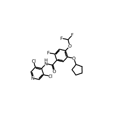 O=C(Nc1c(Cl)cncc1Cl)c1cc(OC2CCCC2)c(OC(F)F)cc1F